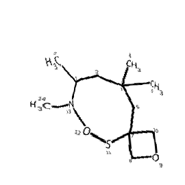 CC1CC(C)(C)CC2(COC2)SON1C